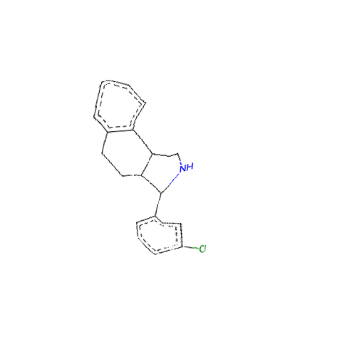 Clc1cccc(C2NCC3c4ccccc4CCC32)c1